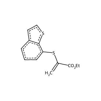 C=C(Sc1cccc2ccsc12)C(=O)OCC